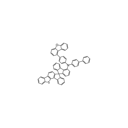 c1ccc(-c2ccc(N(c3ccc(-c4cccc5oc6ccccc6c45)cc3)c3cccc4c3-c3ccccc3C43c4ccccc4-c4c3ccc3c4sc4ccccc43)cc2)cc1